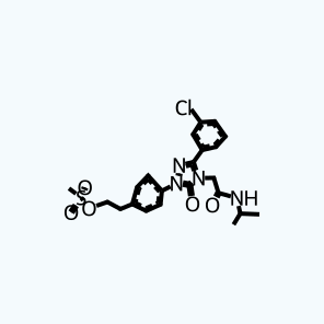 CC(C)NC(=O)Cn1c(-c2cccc(Cl)c2)nn(-c2ccc(CCOS(C)(=O)=O)cc2)c1=O